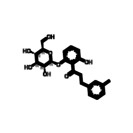 Cc1cccc(CCC(=O)c2c(O)cccc2O[C@@H]2O[C@H](CO)[C@@H](O)[C@H](O)[C@H]2O)c1